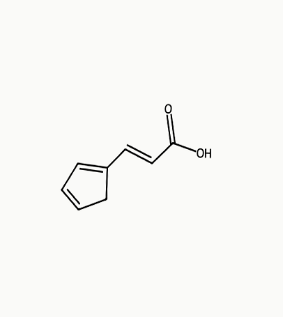 O=C(O)/C=C/C1=CC=CC1